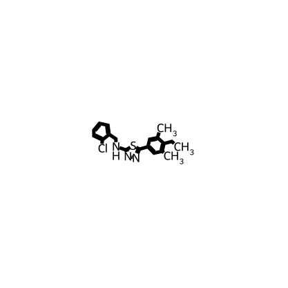 CCc1c(C)cc(-c2nnc(NCc3ccccc3Cl)s2)cc1C